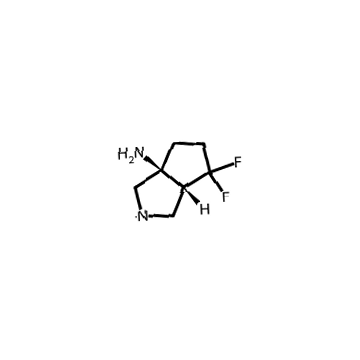 N[C@@]12CCC(F)(F)[C@@H]1C[N]C2